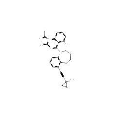 Cc1nnc2nc(N3CCCCc4c(C#CC5(N)CC5)cccc43)c3c(F)cccc3n12